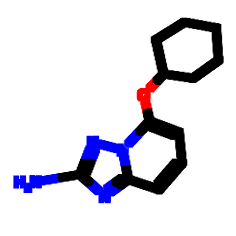 Nc1nc2cccc(OC3CCCCC3)n2n1